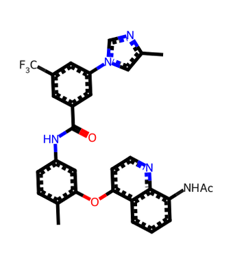 CC(=O)Nc1cccc2c(Oc3cc(NC(=O)c4cc(-n5cnc(C)c5)cc(C(F)(F)F)c4)ccc3C)ccnc12